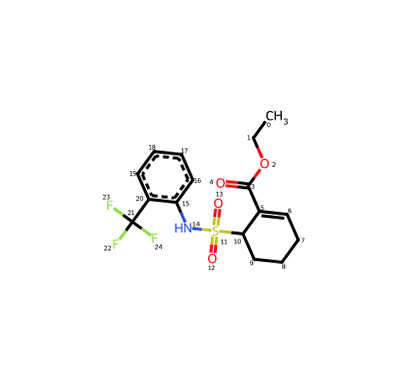 CCOC(=O)C1=CCCCC1S(=O)(=O)Nc1ccccc1C(F)(F)F